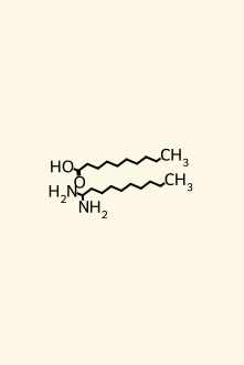 CCCCCCCCCC(=O)O.CCCCCCCCCC(N)N